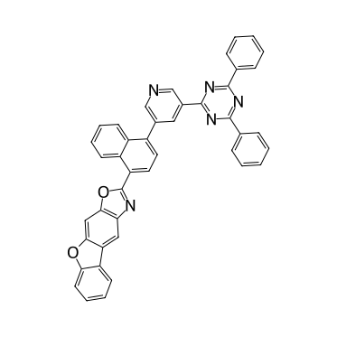 c1ccc(-c2nc(-c3ccccc3)nc(-c3cncc(-c4ccc(-c5nc6cc7c(cc6o5)oc5ccccc57)c5ccccc45)c3)n2)cc1